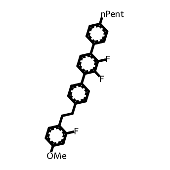 CCCCCc1ccc(-c2ccc(-c3ccc(CCc4ccc(OC)cc4F)cc3)c(F)c2F)cc1